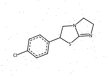 Clc1ccc(C2CN3CCN=C3S2)cc1